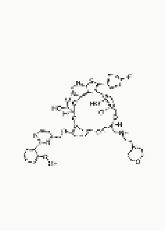 O=C(O)[C@H]1Cc2cc(ccc2OCc2ccnc(-c3ccccc3OO)n2)OC[C@@H](CNCCN2CCOCC2)Oc2ccc(c(O)c2Cl)-c2c(-c3ccc(F)cc3)sc3ncnc(c23)O1